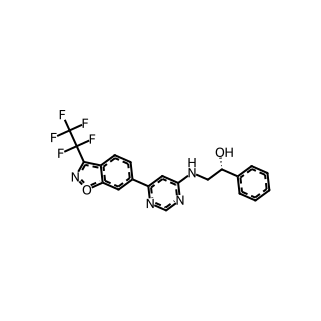 O[C@@H](CNc1cc(-c2ccc3c(C(F)(F)C(F)(F)F)noc3c2)ncn1)c1ccccc1